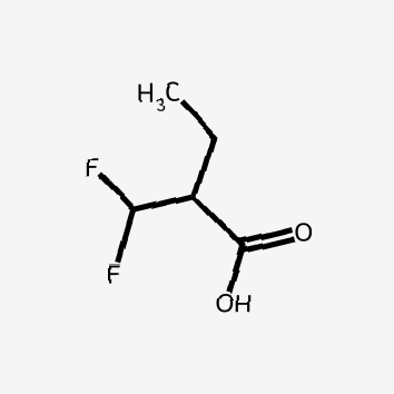 CCC(C(=O)O)C(F)F